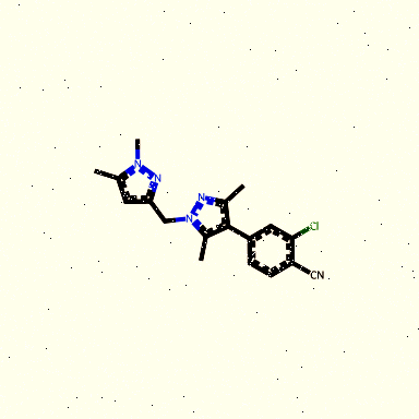 Cc1nn(Cc2cc(C)n(C)n2)c(C)c1-c1ccc(C#N)c(Cl)c1